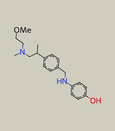 COCCN(C)CC(C)c1ccc(CNc2ccc(O)cc2)cc1